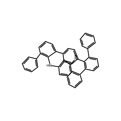 c1ccc(-c2cccc(-c3ccccc3)c2Nc2cccc(Nc3c(-c4ccccc4)cccc3-c3ccccc3)c2)cc1